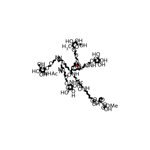 COP(=O)(O)OC[C@H]1OCC[C@H]1OP(=O)(O)OCCCCCCNC(=O)CCSSCCNC(=O)[C@H](CCCCN(Cc1cn(CCOCCO[C@@H]2O[C@H](CO)[C@H](O)[C@H](O)[C@H]2NC(C)=O)nn1)Cc1cn(CCOCCO[C@@H]2O[C@H](CO)[C@H](O)[C@H](O)[C@H]2NC(C)=O)nn1)N(Cc1cn(CCOCCO[C@@H]2O[C@H](CO)[C@H](O)[C@H](O)[C@H]2C)nn1)Cc1cn(CCOCCO[C@@H]2O[C@H](CO)[C@H](O)[C@H](O)[C@H]2NC(C)=O)nn1